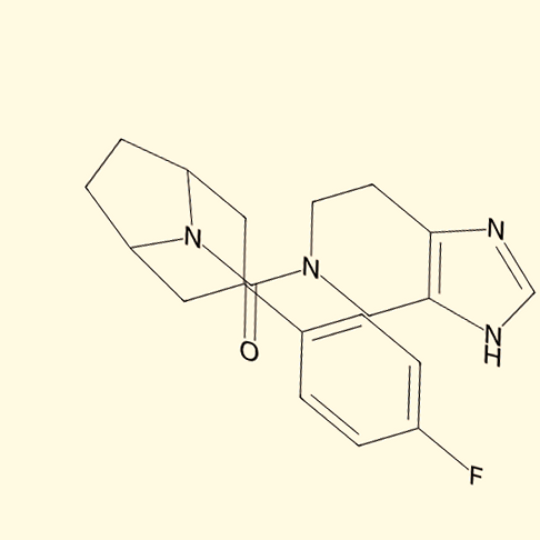 O=C(N1CCc2nc[nH]c2C1)N1C2CCC1CC(c1ccc(F)cc1)C2